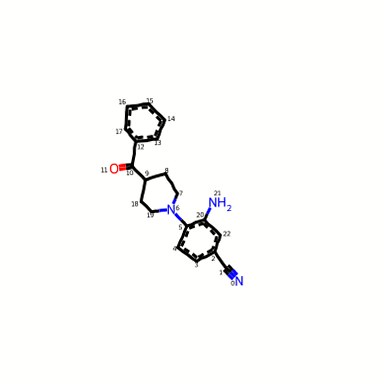 N#Cc1ccc(N2CCC(C(=O)c3ccccc3)CC2)c(N)c1